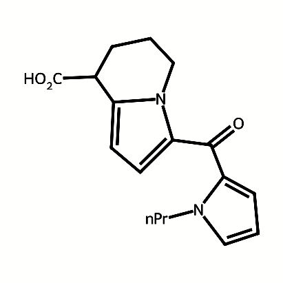 CCCn1cccc1C(=O)c1ccc2n1CCCC2C(=O)O